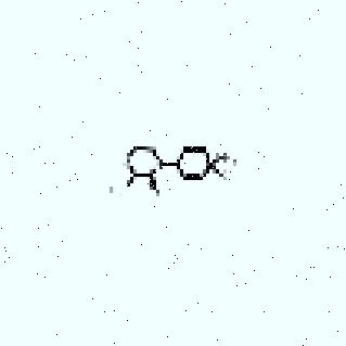 CC1OCCN(C2C=CC(N)(Cl)C=C2)C1=O